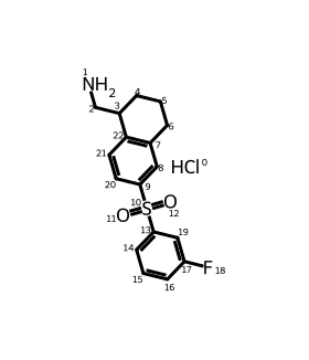 Cl.NCC1CCCc2cc(S(=O)(=O)c3cccc(F)c3)ccc21